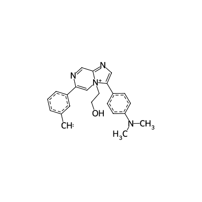 [CH]c1cccc(C2=C[N+]3(CCO)C(c4ccc(N(C)C)cc4)=CN=C3C=N2)c1